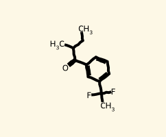 CCC(C)C(=O)c1cccc(C(C)(F)F)c1